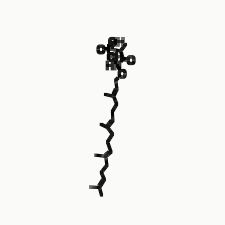 CC(C)=CCC/C(C)=C/CC/C(C)=C/CC/C(C)=C/CONC(=O)C(C)P(=O)(O)O